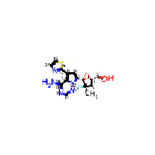 C[C@@]1(F)C[C@@H](CO)O[C@H]1c1cc(-c2nccs2)c2c(N)ncnn12